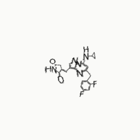 O=C1C/C(=C\c2cnn3c(NC4CC4)cc(Cc4ccc(F)cc4F)nc23)C(=O)N1